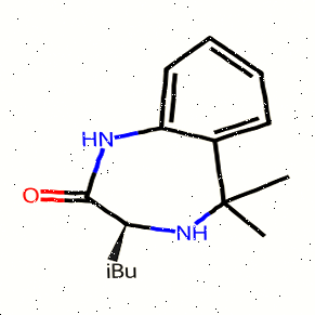 CCC(C)[C@@H]1NC(C)(C)c2ccccc2NC1=O